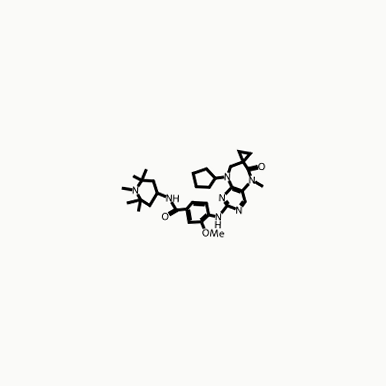 COc1cc(C(=O)NC2CC(C)(C)N(C)C(C)(C)C2)ccc1Nc1ncc2c(n1)N(C1CCCC1)CC1(CC1)C(=O)N2C